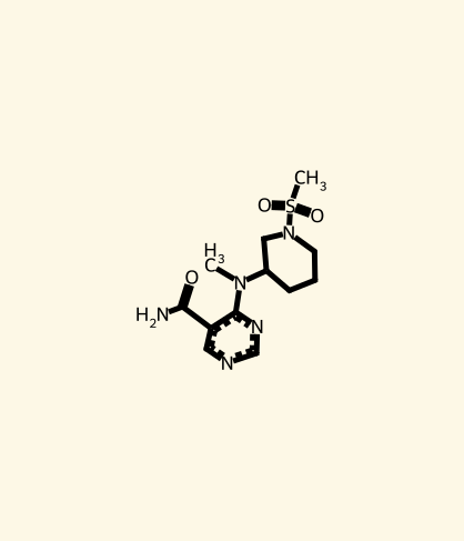 CN(c1ncncc1C(N)=O)C1CCCN(S(C)(=O)=O)C1